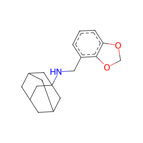 c1cc(CNC23CC4CC(CC(C4)C2)C3)c2c(c1)OCO2